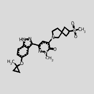 Cn1nc(-c2n[nH]c3ccc(OC4(C)CC4)cc23)cc(N2CCC3(CC(S(C)(=O)=O)C3)C2)c1=O